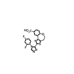 O=C(O)c1ccc2c(c1)-c1nc(-c3nncn3-c3ccc(F)cc3F)sc1CCO2